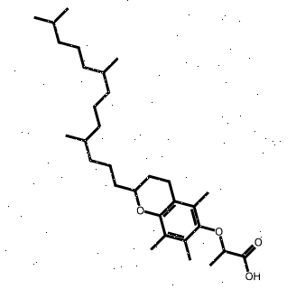 Cc1c(C)c2c(c(C)c1OC(C)C(=O)O)CCC(CCCC(C)CCCC(C)CCCC(C)C)O2